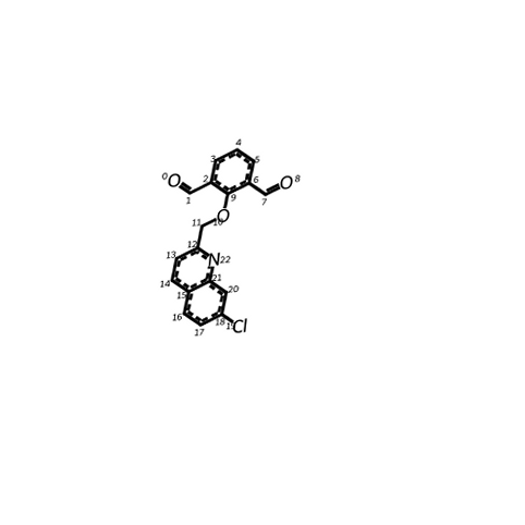 O=Cc1cccc(C=O)c1OCc1ccc2ccc(Cl)cc2n1